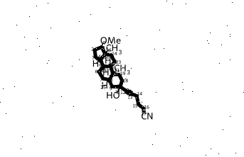 CO[C@H]1CC[C@H]2[C@@H]3CC[C@@H]4C[C@@](O)(C#CCCCC#N)CC[C@]4(C)[C@H]3CC[C@]12C